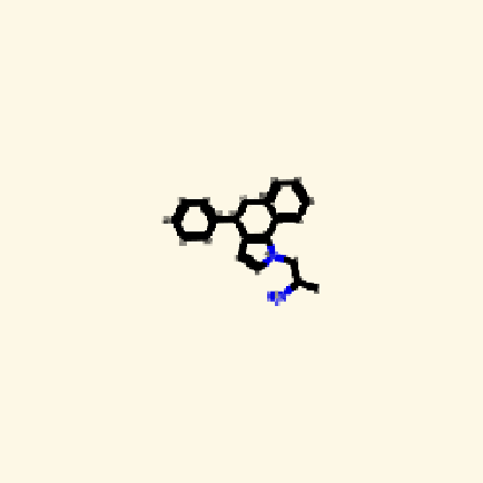 CC(N)Cn1ccc2c1-c1ccccc1CC2c1ccccc1